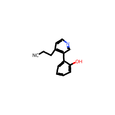 N#CCCc1ccn[c]c1-c1ccccc1O